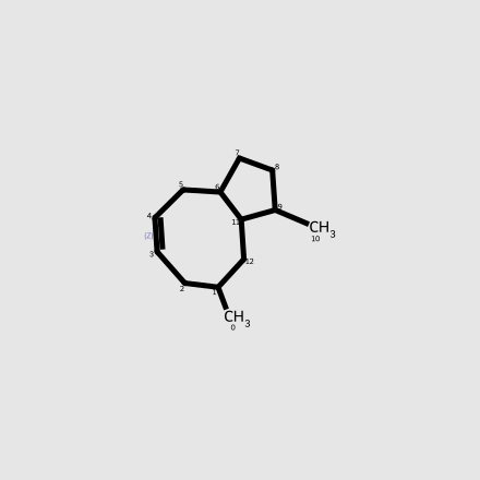 CC1C/C=C\CC2[CH]CC(C)C2C1